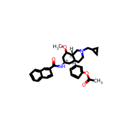 COC1C[C@H](NC(=O)c2ccc3ccccc3c2)C[C@]2(c3cccc(OC(C)=O)c3)CCN(CC3CC3)C[C@@H]12